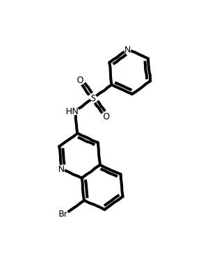 O=S(=O)(Nc1cnc2c(Br)cccc2c1)c1cccnc1